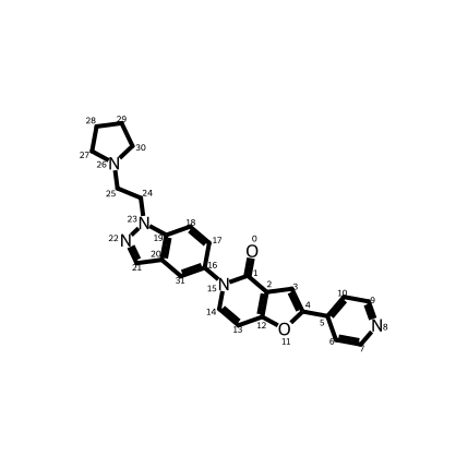 O=c1c2cc(-c3ccncc3)oc2ccn1-c1ccc2c(cnn2CCN2CCCC2)c1